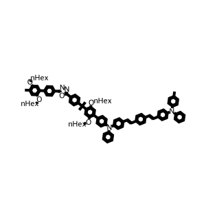 CCCCCCOc1cc(-c2ccc(-c3nnc(-c4ccc(C(C)(C)c5cc(OCCCCCC)c(-c6ccc(N(c7ccccc7)c7ccc(C=Cc8ccc(C=Cc9ccc(N(c%10ccccc%10)c%10ccc(C)cc%10)cc9)cc8)cc7)cc6)cc5OCCCCCC)cc4)o3)cc2)c(OCCCCCC)cc1C